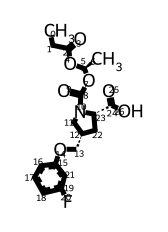 CCC(=O)O[C@@H](C)OC(=O)N1C[C@@H](COc2cccc(F)c2)C[C@H]1C(=O)O